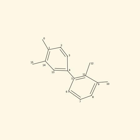 Cc1ccc(-c2[c]ccc(C)c2C)cc1C